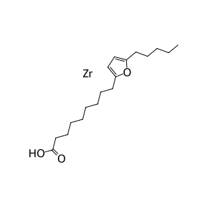 CCCCCc1ccc(CCCCCCCCC(=O)O)o1.[Zr]